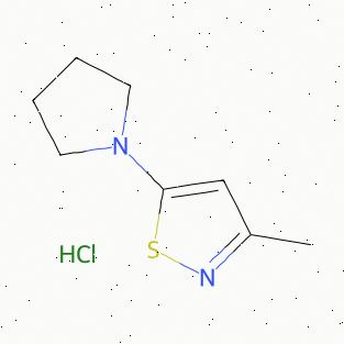 Cc1cc(N2CCCC2)sn1.Cl